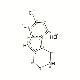 Cc1c(Cl)ccc2c3c([nH]c12)CCNC3.Cl